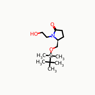 CC(C)(C)[Si](C)(C)OC[C@@H]1CCC(=O)N1CCO